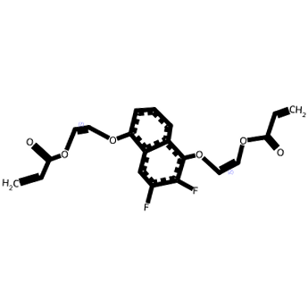 C=CC(=O)O/C=C\Oc1cccc2c(O/C=C\OC(=O)C=C)c(F)c(F)cc12